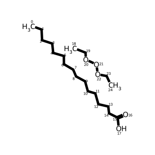 CCCCCCCCCCCCCCCC(=O)O.CCOOOCC